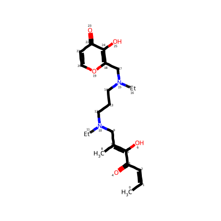 C/C=C\C(=O)/C(O)=C(\C)CN(CC)CCCN(CC)Cc1occc(=O)c1O